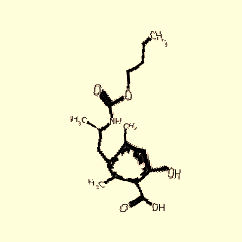 CCCCOC(=O)N[C@H](C)Cc1c(C)cc(O)c(C(=O)O)c1C